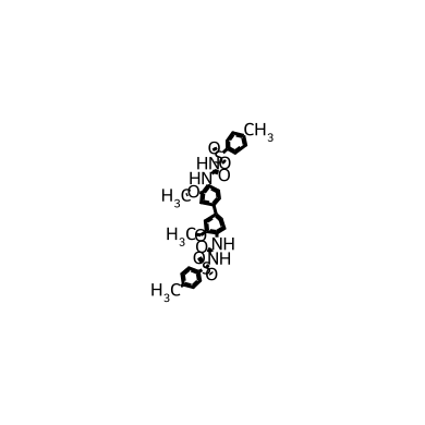 COc1cc(-c2ccc(NC(=O)NS(=O)(=O)c3ccc(C)cc3)c(OC)c2)ccc1NC(=O)NS(=O)(=O)c1ccc(C)cc1